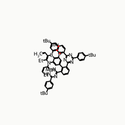 C=CC1=C(CC)N(C(=C)/C=C\CC)c2cc(-c3c(/C(=N/C(=N)c4ccc(C(C)(C)C)cc4)NC)cccc3-c3nc(-c4ccc(C(C)(C)C)cc4)nc(-c4ccc(C(C)(C)C)cc4)n3)cc3c2B1c1cc(C(C)(C)C)ccc1O3